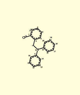 Clc1ncccc1CN(c1cccnc1)c1cccnc1